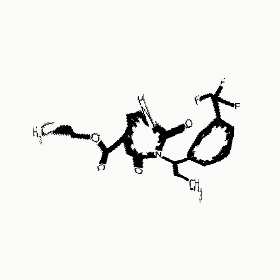 CCOC(=O)c1c[nH]c(=O)n(C(CC)c2cccc(C(F)(F)F)c2)c1=O